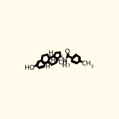 Cc1ccc(C(=O)N[C@H]2CC[C@H]3[C@@H]4CCc5cc(O)ccc5[C@H]4CC[C@]23C)cc1